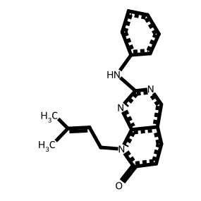 CC(C)=CCn1c(=O)ccc2cnc(Nc3ccccc3)nc21